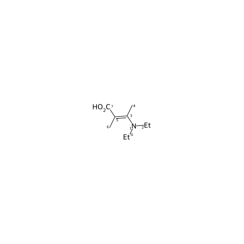 CCN(CC)C(C)=C(C)C(=O)O